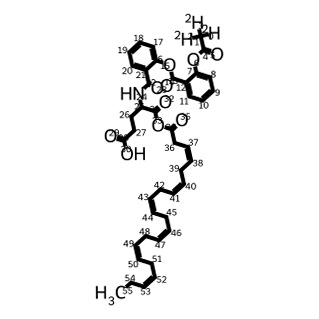 [2H]C([2H])([2H])C(=O)Oc1ccccc1C(=O)Oc1ccccc1C(=O)NC(CCC(=O)O)C(=O)OC(=O)C/C=C\C/C=C\C/C=C\C/C=C\C/C=C\C/C=C\CC